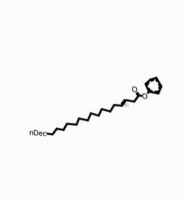 CCCCCCCCCCCCCCCCCCCCCC/C=C/CC(=O)Oc1ccccc1